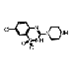 O=S1(=O)NC(N2CCNCC2)=Nc2ccc(Cl)cc21